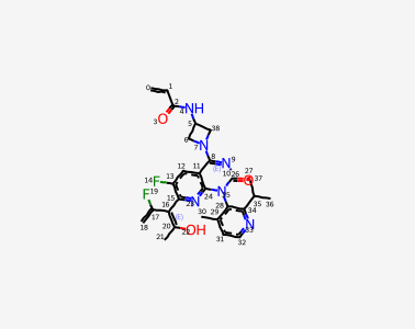 C=CC(=O)NC1CN(/C(=N/C)c2cc(F)c(/C(C(=C)F)=C(/C)O)nc2N(C=O)c2c(C)ccnc2C(C)C)C1